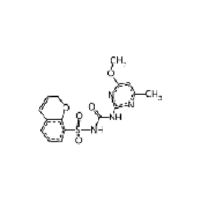 COc1cc(C)nc(NC(=O)NS(=O)(=O)c2cccc3c2OCC=C3)n1